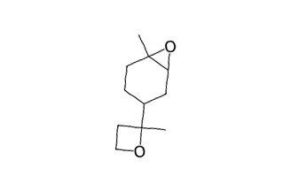 CC1(C2CCC3(C)OC3C2)CCO1